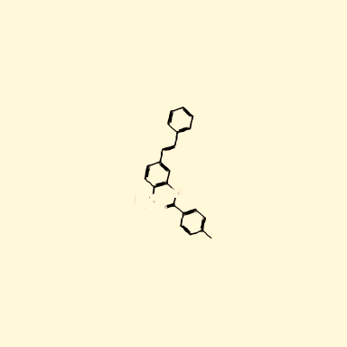 Cc1ccc(C(=O)Nc2cc(C=Cc3ccccc3)ccc2N)cc1